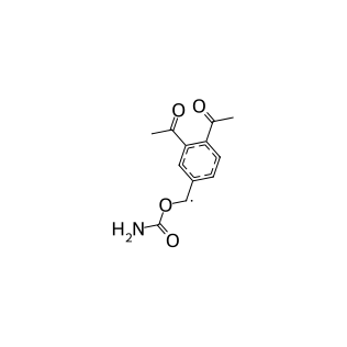 CC(=O)c1ccc([CH]OC(N)=O)cc1C(C)=O